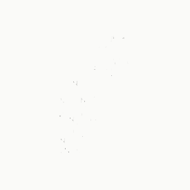 O=c1n(-c2ccn[nH]2)ccc2nc(COc3ccccc3)cn12